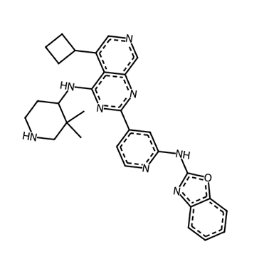 CC1(C)CNCCC1Nc1nc(-c2ccnc(Nc3nc4ccccc4o3)c2)nc2cncc(C3CCC3)c12